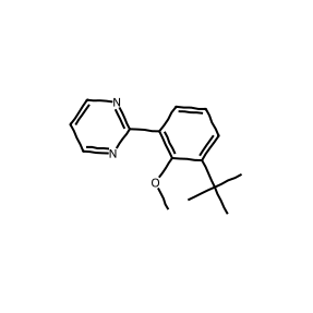 COc1c(-c2ncccn2)cccc1C(C)(C)C